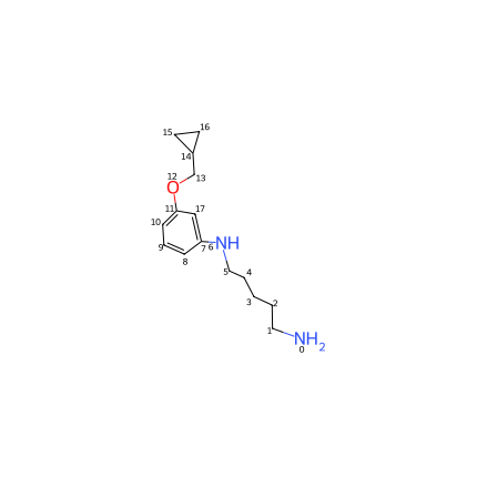 NCCCCCNc1cccc(OCC2CC2)c1